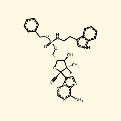 C[C@@]1(F)[C@H](O)[C@@H](COP(=O)(NCCc2c[nH]c3ccccc23)OCc2ccccc2)O[C@@]1(C#N)c1cnc2c(N)ncnn12